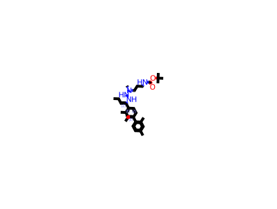 C\C=C(/C=C\C(C(=C\CC)\NNN(C)CCCNC(=O)OC(C)(C)C)=C(\C)CC)c1ccc(C)cc1C